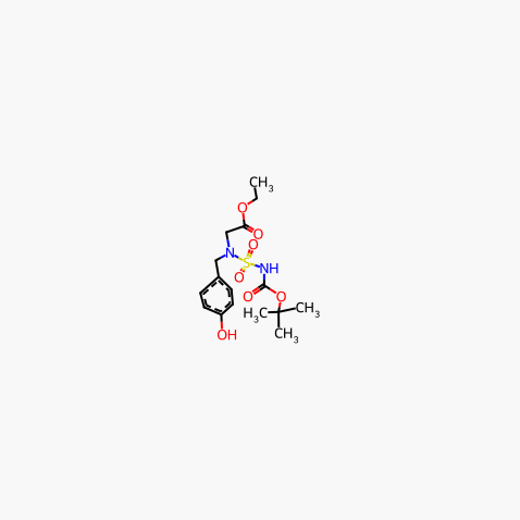 CCOC(=O)CN(Cc1ccc(O)cc1)S(=O)(=O)NC(=O)OC(C)(C)C